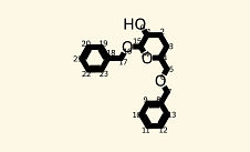 OC1CCC(COCc2ccccc2)OC1OCc1ccccc1